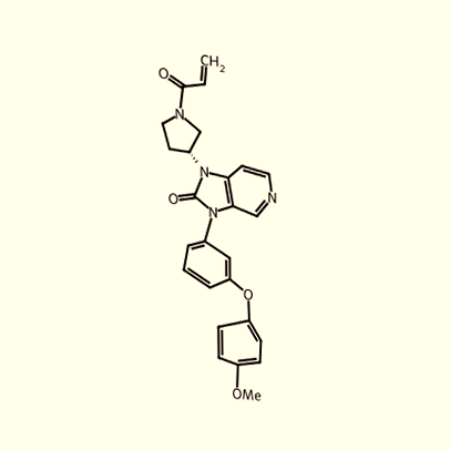 C=CC(=O)N1CC[C@@H](n2c(=O)n(-c3cccc(Oc4ccc(OC)cc4)c3)c3cnccc32)C1